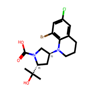 CC(C)(O)[C@H]1C[C@H](N2CCCc3cc(Cl)cc(Br)c32)CN1C(=O)O